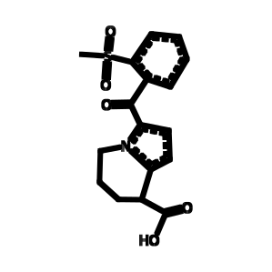 CS(=O)(=O)c1ccccc1C(=O)c1ccc2n1CCCC2C(=O)O